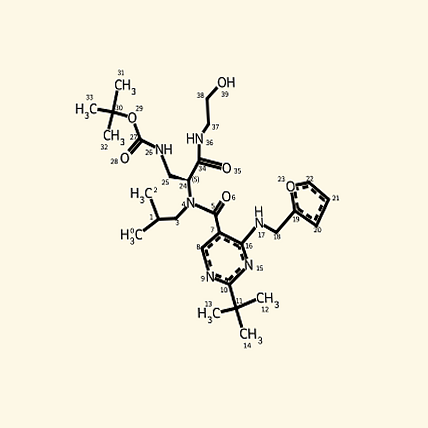 CC(C)CN(C(=O)c1cnc(C(C)(C)C)nc1NCc1ccco1)[C@@H](CNC(=O)OC(C)(C)C)C(=O)NCCO